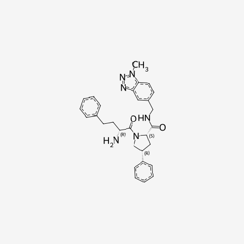 Cn1nnc2cc(CNC(=O)[C@@H]3C[C@H](c4ccccc4)CN3C(=O)[C@H](N)CCc3ccccc3)ccc21